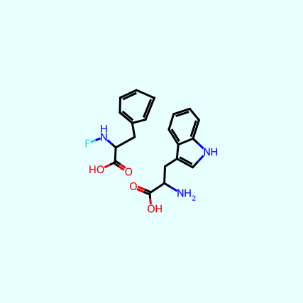 NC(Cc1c[nH]c2ccccc12)C(=O)O.O=C(O)C(Cc1ccccc1)NF